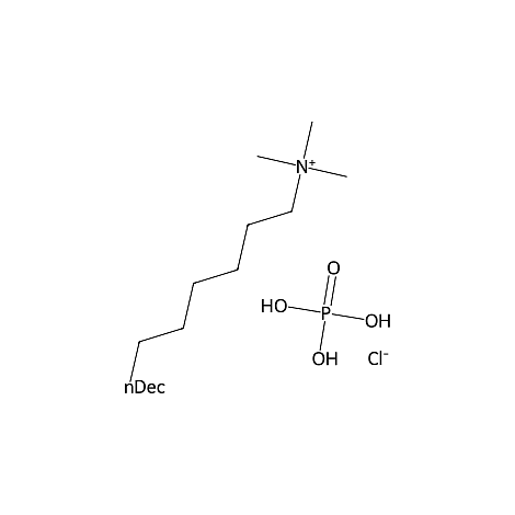 CCCCCCCCCCCCCCCC[N+](C)(C)C.O=P(O)(O)O.[Cl-]